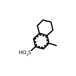 Cc1cc(S(=O)(=O)O)cc2c1CCCC2